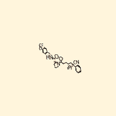 CC(C)[C@@](C#N)(CCCCC(=O)N1CCC[C@@H]1C(=O)NCc1ccc(OC(F)(F)F)cc1)c1ccccc1